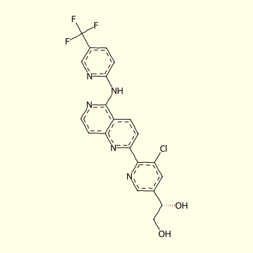 OC[C@@H](O)c1cnc(-c2ccc3c(Nc4ccc(C(F)(F)F)cn4)nccc3n2)c(Cl)c1